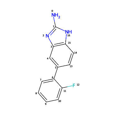 Nc1nc2cc(-c3ccccc3F)ccc2[nH]1